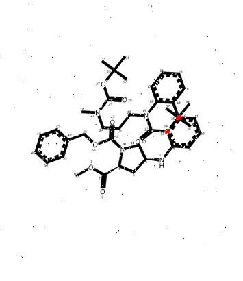 COC(=O)[C@@H]1C[C@H](Nc2cccc(-c3ccccc3N(CCCN(C)C(=O)OC(C)(C)C)C(=O)OC(C)(C)C)n2)CN1C(=O)OCc1ccccc1